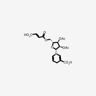 CC(=O)O[C@@H]1[C@H](OC(C)=O)[C@@H](COC(=O)/C=C/C(=O)O)O[C@H]1N1C=CCC(C(=O)O)=C1